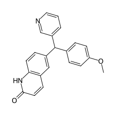 COc1ccc(C(c2cccnc2)c2ccc3[nH]c(=O)ccc3c2)cc1